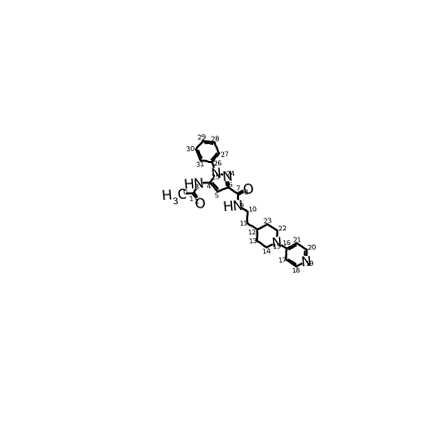 CC(=O)Nc1cc(C(=O)NCCC2CCN(c3ccncc3)CC2)nn1-c1ccccc1